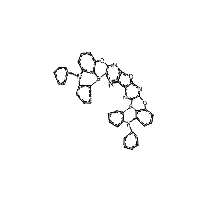 c1ccc(N2c3ccccc3B3c4nc5c(nc4Oc4cccc2c43)oc2nc3c(nc25)B2c4ccccc4N(c4ccccc4)c4cccc(c42)O3)cc1